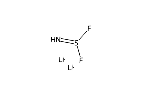 N=S(F)F.[Li].[Li]